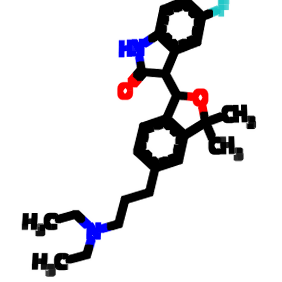 CCN(CC)CCCc1ccc2c(c1)C(C)(C)OC2C1C(=O)Nc2ccc(F)cc21